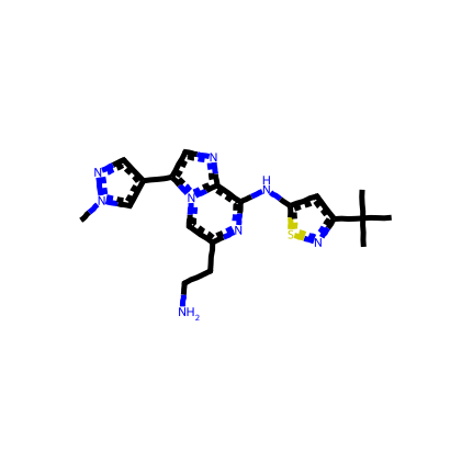 Cn1cc(-c2cnc3c(Nc4cc(C(C)(C)C)ns4)nc(CCN)cn23)cn1